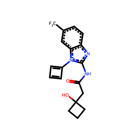 O=C(CC1(O)CCC1)Nc1nc2ccc(C(F)(F)F)cc2n1C1=CC=C1